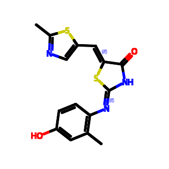 Cc1ncc(/C=C2\S/C(=N\c3ccc(O)cc3C)NC2=O)s1